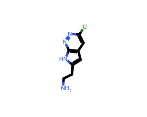 NCCc1cc2cc(Cl)nnc2[nH]1